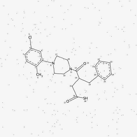 Cc1ccc(Cl)cc1N1CCN(C(=O)C(CC(=O)S)Cc2ccccc2)CC1